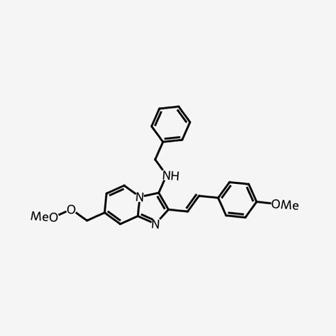 COOCc1ccn2c(NCc3ccccc3)c(/C=C/c3ccc(OC)cc3)nc2c1